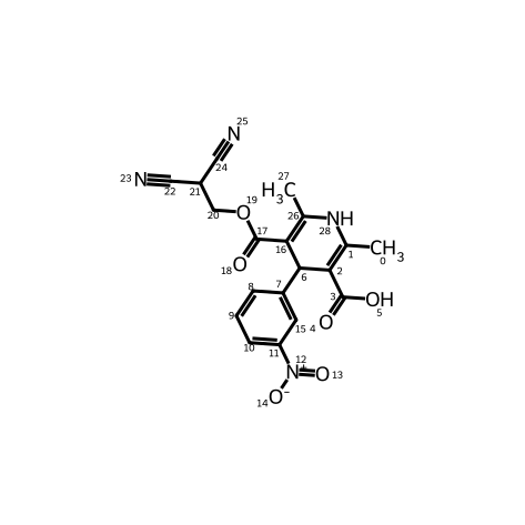 CC1=C(C(=O)O)C(c2cccc([N+](=O)[O-])c2)C(C(=O)OCC(C#N)C#N)=C(C)N1